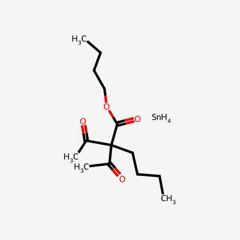 CCCCOC(=O)C(CCCC)(C(C)=O)C(C)=O.[SnH4]